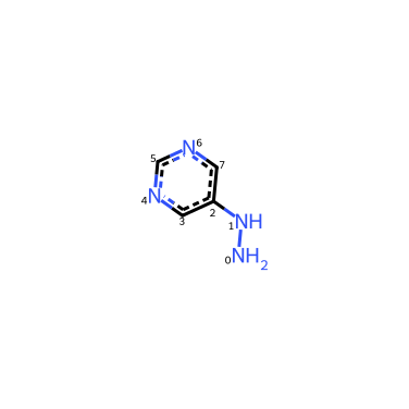 NNc1cncnc1